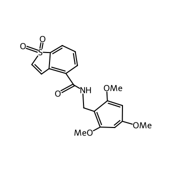 COc1cc(OC)c(CNC(=O)c2cccc3c2C=CS3(=O)=O)c(OC)c1